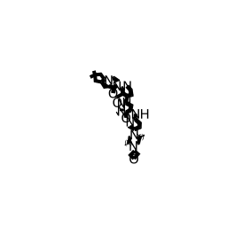 C[C@@H]1CN(c2ccc(Nc3cc(-c4ccnc(-n5ccn6c7c(cc6c5=O)CC(C)(C)C7)c4CO)nn(C)c3=O)nc2)[C@@H](C)CN1C1COC1